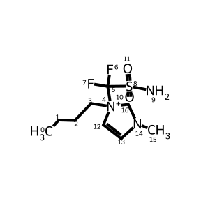 CCCC[N+]1(C(F)(F)S(N)(=O)=O)C=CN(C)C1